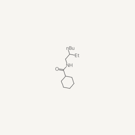 CCCCC(CC)CNC(=O)[C]1CCCCC1